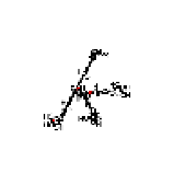 COP(=O)(O)OCCCCCCNC(=O)CCCCCNC(=O)[C@H](CCCCNC(=O)CCOCCOC1OC(CO)C(O)C(O)C1C)NC(=O)[C@H](CCCCNC(=O)CCOCCOC1OC(CO)C(O)C(O)C1C)NC(=O)CCOCCOC1OC(CO)C(O)C(O)C1C